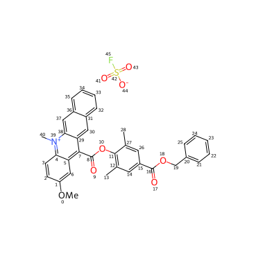 COc1ccc2c(c1)c(C(=O)Oc1c(C)cc(C(=O)OCc3ccccc3)cc1C)c1cc3ccccc3cc1[n+]2C.O=S(=O)([O-])F